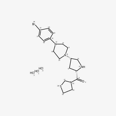 Cl.Cl.Cl.O=C([C@@H]1C[C@H](N2CCN(c3ccc(Br)cc3)CC2)CN1)N1CCSC1